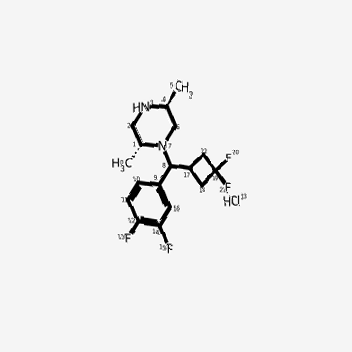 C[C@@H]1CN[C@@H](C)CN1C(c1ccc(F)c(F)c1)C1CC(F)(F)C1.Cl